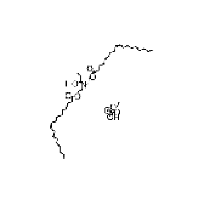 CCCCCCCC/C=C\CCCCCCCC(=O)OCCN(CCOC(=O)CCCCCCC/C=C\CCCCCCCC)C(O)CC.CCOS(=O)(=O)O